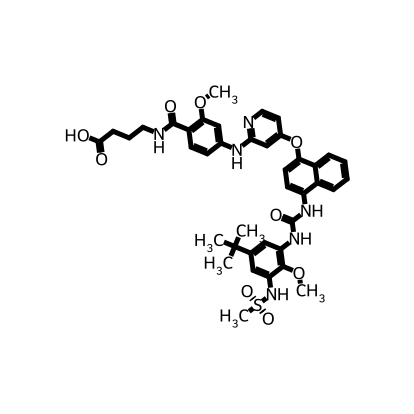 COc1cc(Nc2cc(Oc3ccc(NC(=O)Nc4cc(C(C)(C)C)cc(NS(C)(=O)=O)c4OC)c4ccccc34)ccn2)ccc1C(=O)NCCCC(=O)O